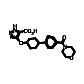 O=C(O)c1[nH]nnc1OC1CCC(c2ccc(C(=O)N3CCOCC3)cc2)CC1